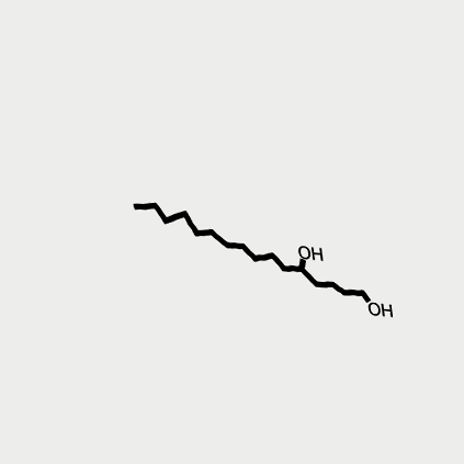 CCCCCCCCCCCC(O)CCCCO